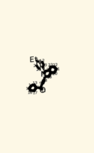 CCN1CCN(c2nc(C#CC(=O)c3ccccc3)cc3ccccc23)CC1